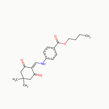 CCCCOC(=O)c1ccc(NC=C2C(=O)CC(C)(C)CC2=O)cc1